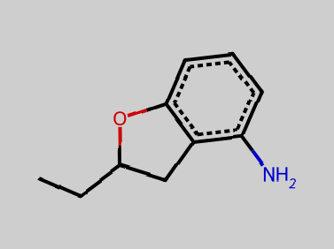 CCC1Cc2c(N)cccc2O1